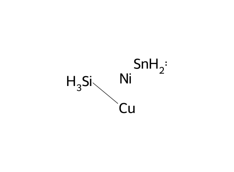 [Ni].[SiH3][Cu].[SnH2]